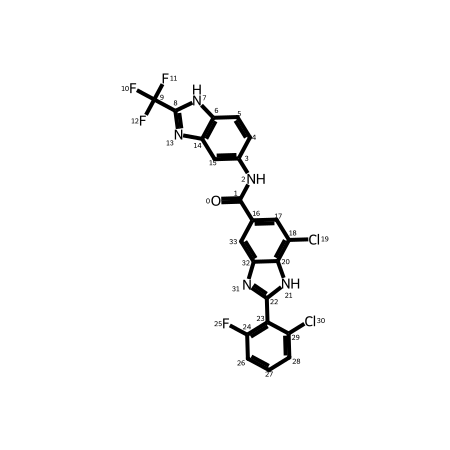 O=C(Nc1ccc2[nH]c(C(F)(F)F)nc2c1)c1cc(Cl)c2[nH]c(-c3c(F)cccc3Cl)nc2c1